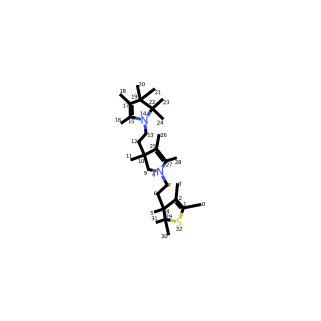 CC1=C(C)C(C)(CCN2CC(C)(CCN3C(C)=C(C)C(C)(C)C3(C)C)C(C)=C2C)C(C)(C)S1